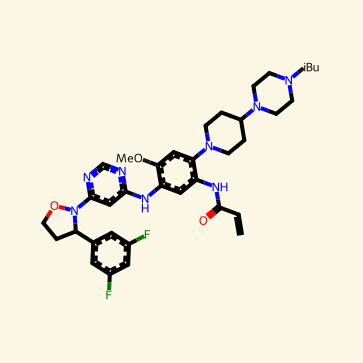 C=CC(=O)Nc1cc(Nc2cc(N3OCCC3c3cc(F)cc(F)c3)ncn2)c(OC)cc1N1CCC(N2CCN(C(C)CC)CC2)CC1